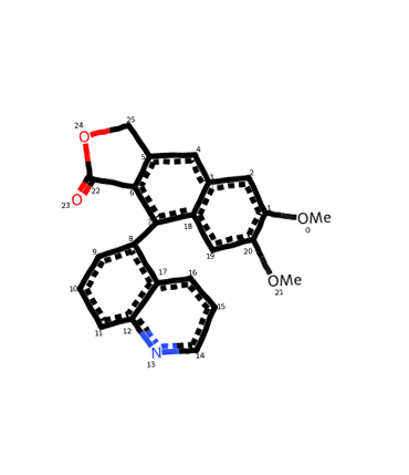 COc1cc2cc3c(c(-c4cccc5ncccc45)c2cc1OC)C(=O)OC3